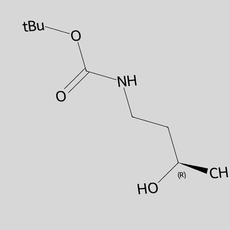 C[C@@H](O)CCNC(=O)OC(C)(C)C